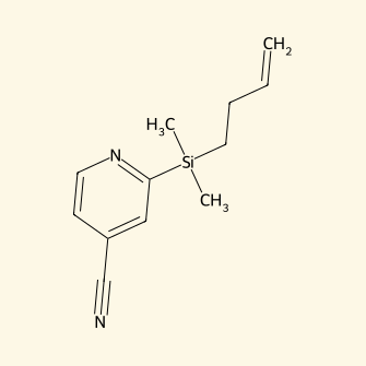 C=CCC[Si](C)(C)c1cc(C#N)ccn1